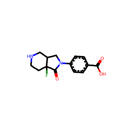 O=C(O)c1ccc(N2CC3CNCCC3(F)C2=O)cc1